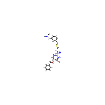 CN(C)Cc1cccc(CSCCNc2ncc(OCc3ccccc3)c(=O)[nH]2)c1